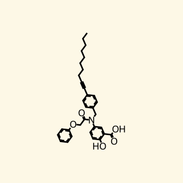 CCCCCCCCC#Cc1ccc(CN(C(=O)COc2ccccc2)c2ccc(O)c(C(=O)O)c2)cc1